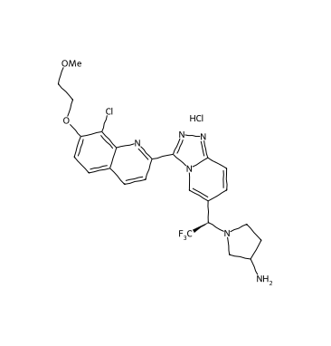 COCCOc1ccc2ccc(-c3nnc4ccc([C@@H](N5CCC(N)C5)C(F)(F)F)cn34)nc2c1Cl.Cl